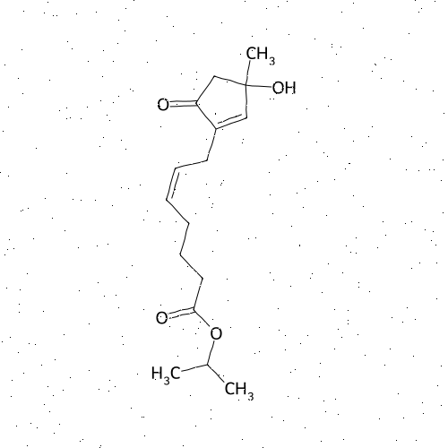 CC(C)OC(=O)CCC/C=C\CC1=CC(C)(O)CC1=O